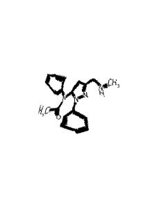 CNCc1cc(N(C(C)=O)c2ccccc2)n(-c2ccccc2)n1